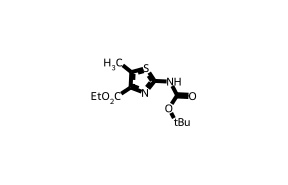 CCOC(=O)c1nc(NC(=O)OC(C)(C)C)sc1C